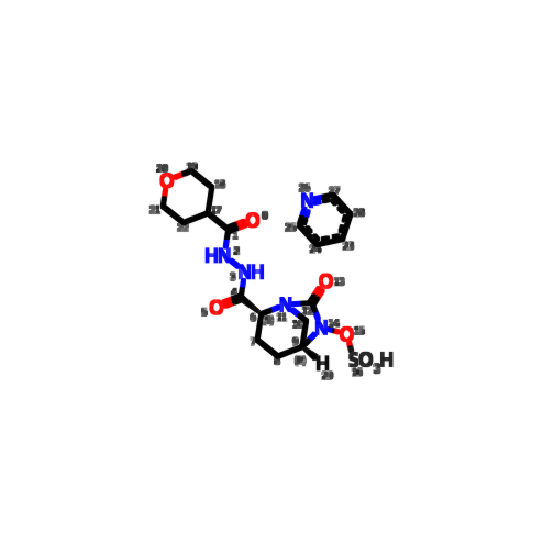 O=C(NNC(=O)[C@@H]1CC[C@@H]2CN1C(=O)N2OS(=O)(=O)O)C1CCOCC1.c1ccncc1